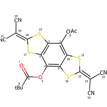 CC(=O)Oc1c2c(c(OC(=O)C(C)(C)C)c3c1SC(=C(C#N)C#N)S3)SC(=C(C#N)C#N)S2